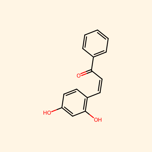 O=C(/C=C\c1ccc(O)cc1O)c1ccccc1